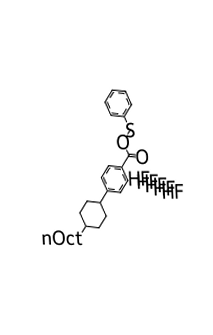 CCCCCCCCC1CCC(c2ccc(C(=O)OSc3ccccc3)cc2)CC1.F.F.F.F.F